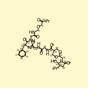 CC(C)C(=O)COCNC(=O)CNC(=O)[C@H](Cc1ccccc1)NC(=O)CNC(=O)CNC(=O)C1COC(CN2C(=O)CC(C(C)C)C2O)OC1